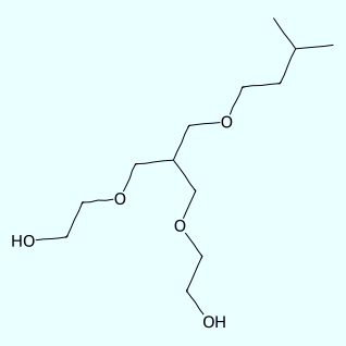 CC(C)CCOCC(COCCO)COCCO